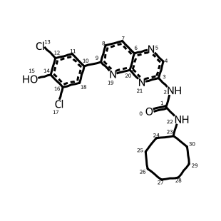 O=C(Nc1cnc2ccc(-c3cc(Cl)c(O)c(Cl)c3)nc2n1)NC1CCCCCCC1